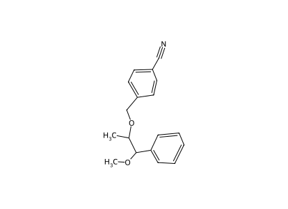 COC(c1ccccc1)C(C)OCc1ccc(C#N)cc1